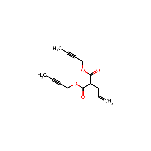 C=CCC(C(=O)OCC#CC)C(=O)OCC#CC